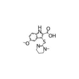 COc1ccc2[nH]c(C(=O)O)c(SC3=NCCCN3C)c2c1